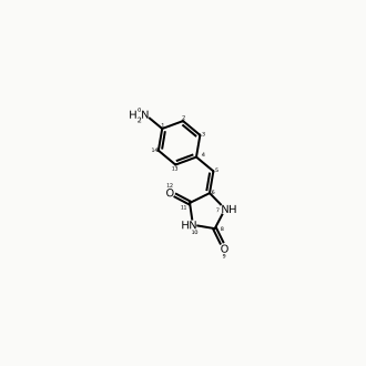 Nc1ccc(C=C2NC(=O)NC2=O)cc1